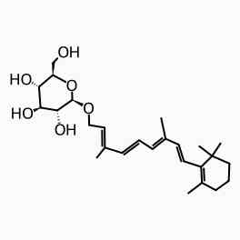 CC(C=CC1=C(C)CCCC1(C)C)=CC=CC(C)=CCO[C@@H]1O[C@H](CO)[C@@H](O)[C@H](O)[C@H]1O